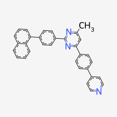 Cc1cc(-c2ccc(-c3ccncc3)cc2)nc(-c2ccc(-c3cccc4ccccc34)cc2)n1